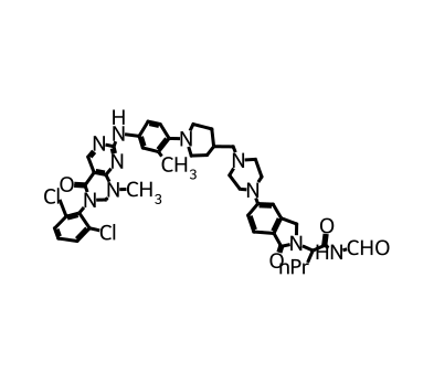 CCCC(C(=O)NC=O)N1Cc2cc(N3CCN(CC4CCN(c5ccc(Nc6ncc7c(n6)N(C)CN(c6c(Cl)cccc6Cl)C7=O)cc5C)CC4)CC3)ccc2C1=O